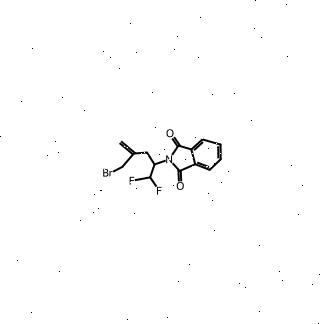 C=C(CBr)CC(C(F)F)N1C(=O)c2ccccc2C1=O